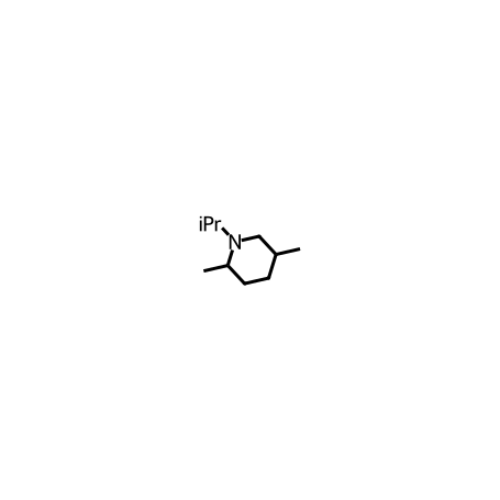 CC1CCC(C)N(C(C)C)C1